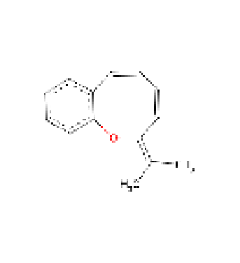 CC(C)=C1/C=C\C=C/c2ccccc2O1